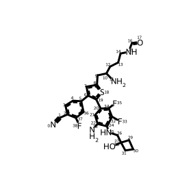 N#Cc1ccc(-c2cc(CC(N)CCCNC=O)sc2-c2cc(N)c(NCC3(O)CCC3)c(F)c2F)cc1F